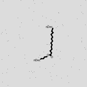 CCCCCCCCCCCCCCCCCCCCCCCC(=O)OCCCCCCCCCCCCCC